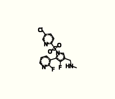 CNCc1cn(S(=O)(=O)c2ccc(Cl)cn2)c(-c2cccnc2F)c1F